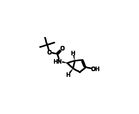 CC(C)(C)OC(=O)N[C@@H]1[C@H]2C=C(O)C[C@H]21